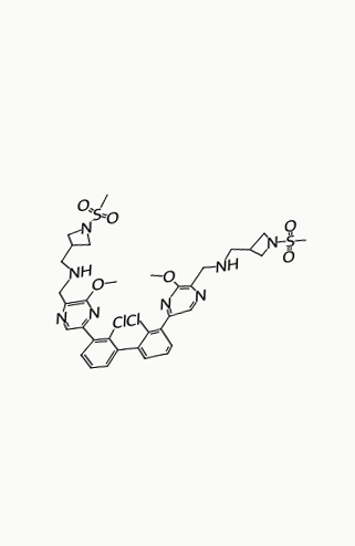 COc1nc(-c2cccc(-c3cccc(-c4cnc(CNCC5CN(S(C)(=O)=O)C5)c(OC)n4)c3Cl)c2Cl)cnc1CNCC1CN(S(C)(=O)=O)C1